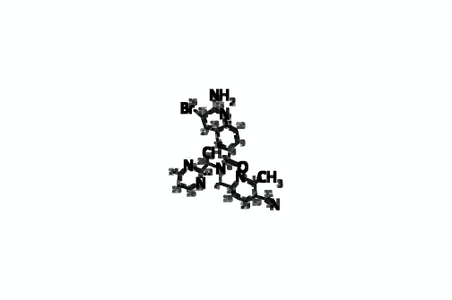 Cc1nc(CN(C(=O)c2ccc3nc(N)c(Br)cc3c2)C(C)c2ncccn2)ccc1C#N